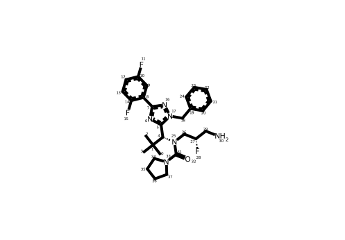 CC(C)(C)[C@H](c1nc(-c2cc(F)ccc2F)nn1Cc1ccccc1)N(C[C@@H](F)CN)C(=O)N1CCCC1